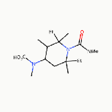 CCC1(C)CC(N(C)C(=O)O)C(C)C(C)(CC)N1C(=O)NC